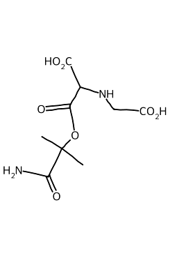 CC(C)(OC(=O)C(NCC(=O)O)C(=O)O)C(N)=O